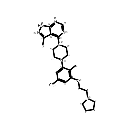 Cc1c(OCCN2CCCC2)cc(Cl)cc1N1CCN(c2ncnc3[nH]nc(C)c23)CC1